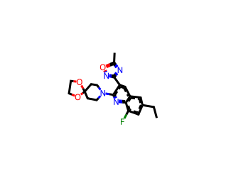 CCc1cc(F)c2nc(N3CCC4(CC3)OCCO4)c(-c3noc(C)n3)cc2c1